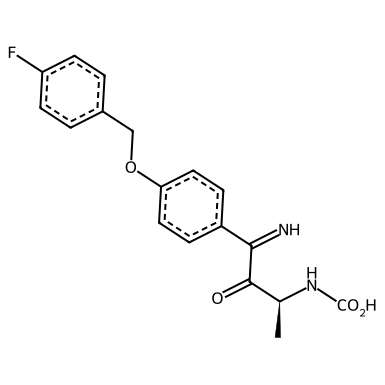 C[C@H](NC(=O)O)C(=O)C(=N)c1ccc(OCc2ccc(F)cc2)cc1